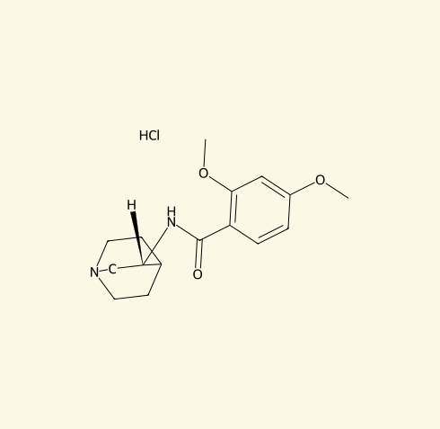 COc1ccc(C(=O)N[C@H]2CN3CCC2CC3)c(OC)c1.Cl